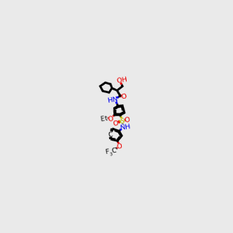 CCOc1cc(NC(=O)C(CO)C2CCCCC2)ccc1S(=O)(=O)Nc1cccc(OC(F)(F)F)c1